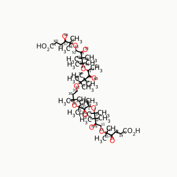 CC(OC(C)(C)C(C)(C)C(=O)COC(C)(C)C(=O)CCC(=O)O)C(=O)C(C)(C)OC(C)(C)CCOC(C)(C)C(C)(C)C(=O)C(C)OC(C)(C)C(C)(C)C(=O)COC(C)(C)C(=O)CCC(=O)O